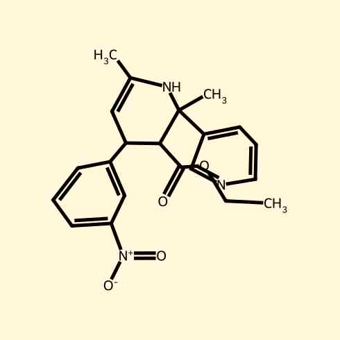 CCOC(=O)C1C(c2cccc([N+](=O)[O-])c2)C=C(C)NC1(C)c1cccnc1